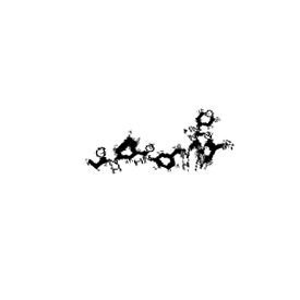 C=CC(=O)Nc1cccc(C(=O)Nc2cccc(CNc3nc(NC4CCOCC4)nc4c(C(C)C)cnn34)c2)c1